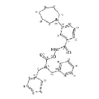 O=C(NOC(=O)N(Cc1ccccc1)Cc1cccnc1)c1cccc(N2CCCCCC2)c1